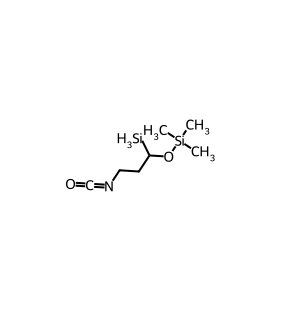 C[Si](C)(C)OC([SiH3])CCN=C=O